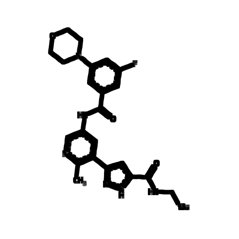 Cc1ncc(NC(=O)c2cc(F)cc(N3CCOCC3)c2)cc1-c1cc(C(=O)NCC(C)(C)C)[nH]n1